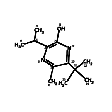 Cc1nc(C(C)C)c(O)nc1C(C)(C)C